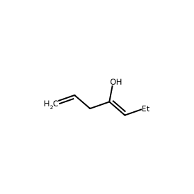 C=CCC(O)=CCC